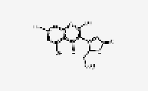 O=C(O)CC1OC(=O)C=C1c1c(O)oc2cc(O)cc(O)c2c1=O